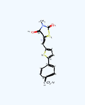 CN1C(=O)S/C(=C\c2ccc(-c3ccc(C(=O)O)cc3)s2)C1=O